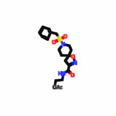 CC(=O)OCCNC(=O)C1=NOC2(CCN(S(=O)(=O)Cc3ccccc3)CC2)C1